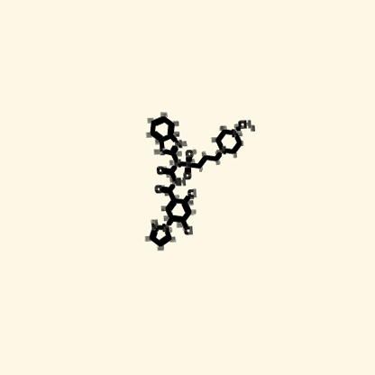 CN1CCN(CCCS(=O)(=O)N(C(=O)NC(=O)c2cc(-n3cccn3)c(Cl)cc2Cl)c2nc3ccccc3s2)CC1